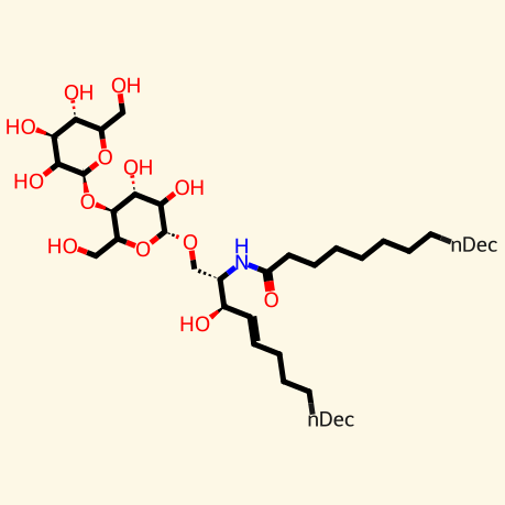 CCCCCCCCCCCCC/C=C/[C@@H](O)[C@H](CO[C@@H]1OC(CO)[C@@H](O[C@@H]2OC(CO)[C@@H](O)[C@H](O)C2O)[C@H](O)C1O)NC(=O)CCCCCCCCCCCCCCCCC